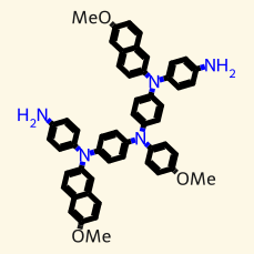 COc1ccc(N(c2ccc(N(c3ccc(N)cc3)c3ccc4cc(OC)ccc4c3)cc2)c2ccc(N(c3ccc(N)cc3)c3ccc4cc(OC)ccc4c3)cc2)cc1